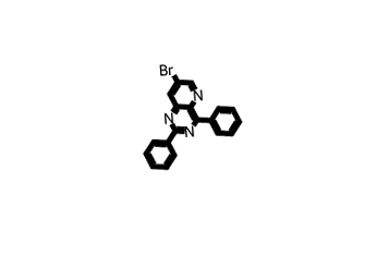 Brc1cnc2c(-c3ccccc3)nc(-c3ccccc3)nc2c1